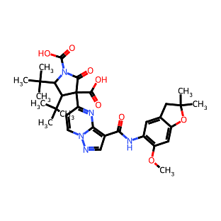 COc1cc2c(cc1NC(=O)c1cnn3ccc(C4(C(=O)O)C(=O)N(C(=O)O)C(C(C)(C)C)C4C(C)(C)C)nc13)CC(C)(C)O2